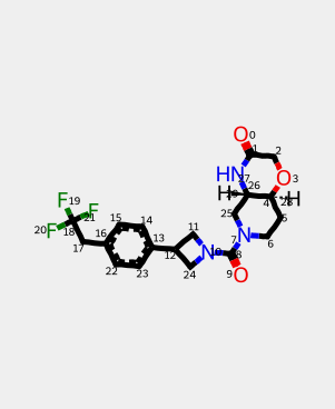 O=C1CO[C@H]2CCN(C(=O)N3CC(c4ccc(CC(F)(F)F)cc4)C3)C[C@@H]2N1